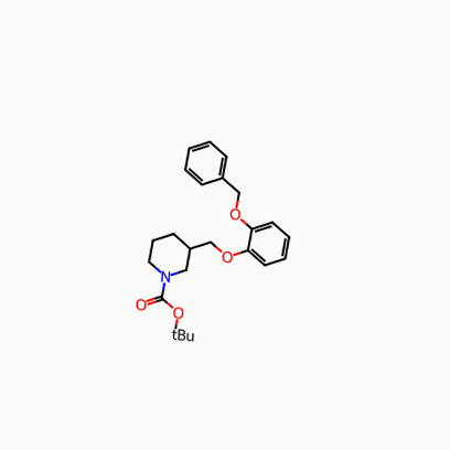 CC(C)(C)OC(=O)N1CCCC(COc2ccccc2OCc2ccccc2)C1